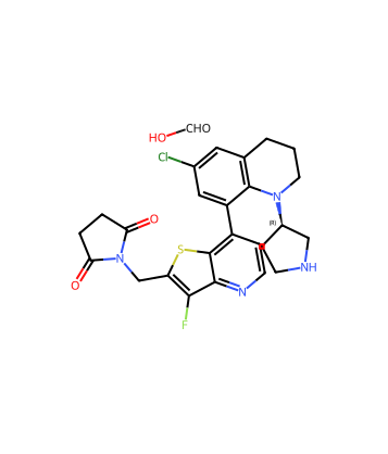 O=C1CCC(=O)N1Cc1sc2c(-c3cc(Cl)cc4c3N([C@@H]3CCNC3)CCC4)ccnc2c1F.O=CO